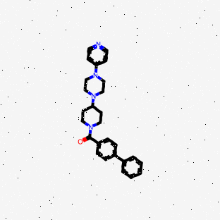 O=C(c1ccc(-c2ccccc2)cc1)N1CCC(N2CCN(c3ccncc3)CC2)CC1